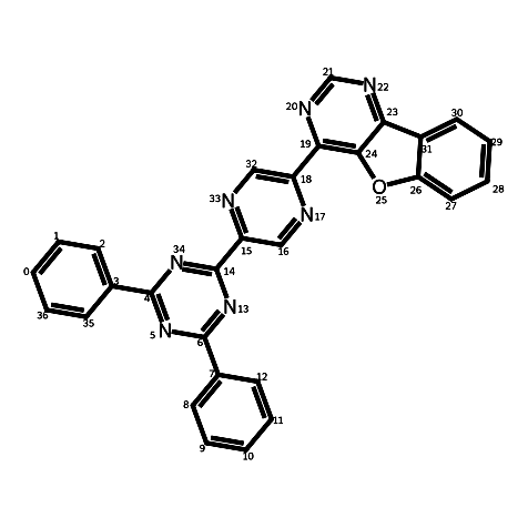 c1ccc(-c2nc(-c3ccccc3)nc(-c3cnc(-c4ncnc5c4oc4ccccc45)cn3)n2)cc1